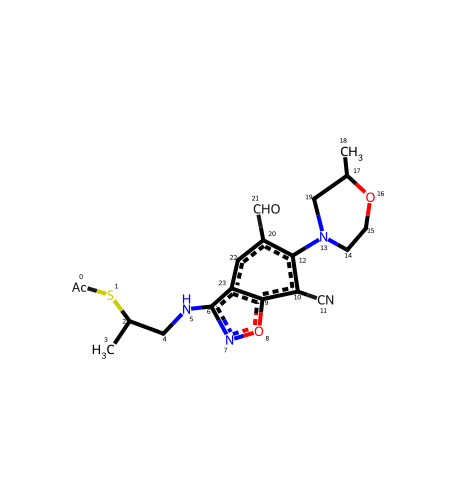 CC(=O)SC(C)CNc1noc2c(C#N)c(N3CCOC(C)C3)c(C=O)cc12